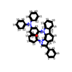 c1ccc(-c2cn(-c3ccccc3)c3c2ccc2c4ccccc4n(-c4cccc(N(c5ccccc5)c5ccccc5)c4)c23)cc1